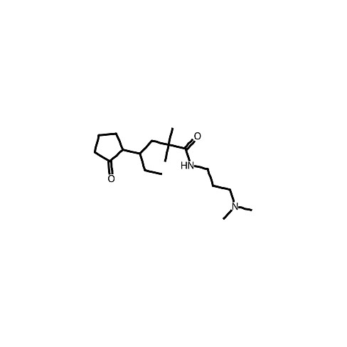 CCC(CC(C)(C)C(=O)NCCCN(C)C)C1CCCC1=O